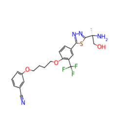 C[C@](N)(CO)c1nnc(-c2ccc(OCCCCOc3cccc(C#N)c3)c(C(F)(F)F)c2)s1